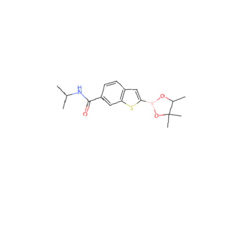 CC(C)NC(=O)c1ccc2cc(B3OC(C)C(C)(C)O3)sc2c1